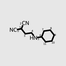 N#CC(C#N)CCNC1CCCCC1